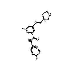 Cc1cc(OC[C@H]2CCOC2)cc(C(=O)Nc2ccc(F)cn2)n1